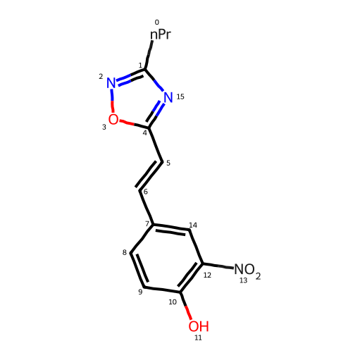 CCCc1noc(C=Cc2ccc(O)c([N+](=O)[O-])c2)n1